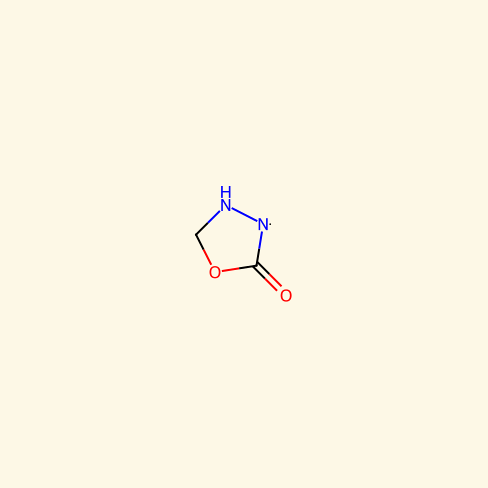 O=C1[N]NCO1